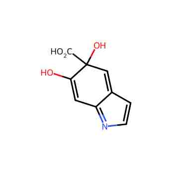 O=C(O)C1(O)C=C2C=CN=C2C=C1O